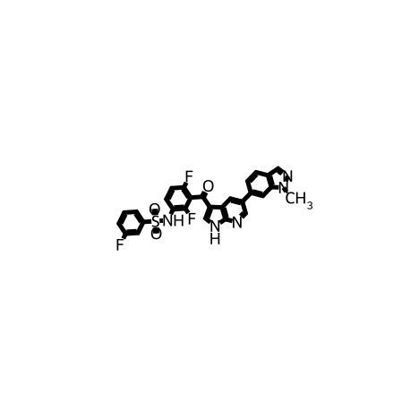 Cn1ncc2ccc(-c3cnc4[nH]cc(C(=O)c5c(F)ccc(NS(=O)(=O)c6cccc(F)c6)c5F)c4c3)cc21